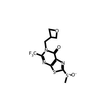 C[S+]([O-])c1nc2c(=O)n(CC3COC3)c(C(F)(F)F)nc2s1